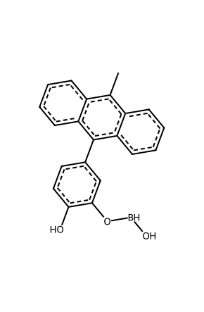 Cc1c2ccccc2c(-c2ccc(O)c(OBO)c2)c2ccccc12